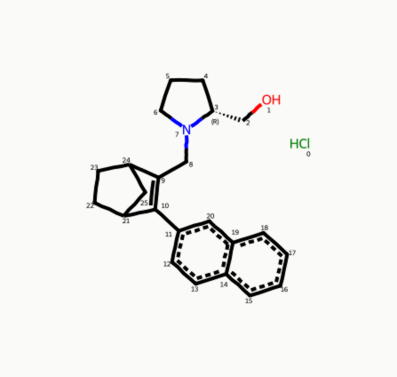 Cl.OC[C@H]1CCCN1CC1=C(c2ccc3ccccc3c2)C2CCC1C2